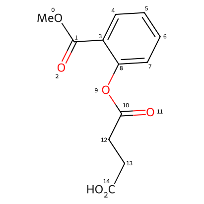 COC(=O)c1ccccc1OC(=O)CCC(=O)O